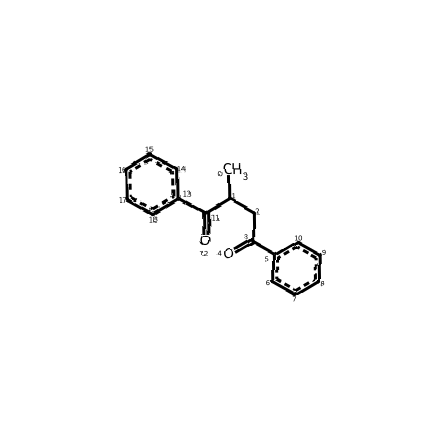 CC(CC(=O)c1ccccc1)C(=O)c1ccccc1